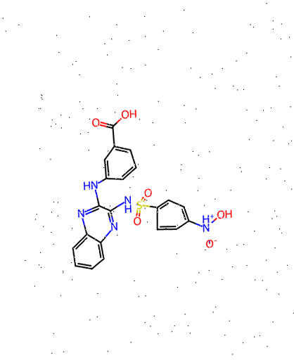 O=C(O)c1cccc(Nc2nc3ccccc3nc2NS(=O)(=O)c2ccc([NH+]([O-])O)cc2)c1